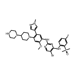 COc1cc(N2CCC(N3CCNCC3)CC2)c(-c2cnn(C)c2)cc1Nc1ncc(Br)c(Nc2ccc(F)cc2P(C)(C)=O)n1